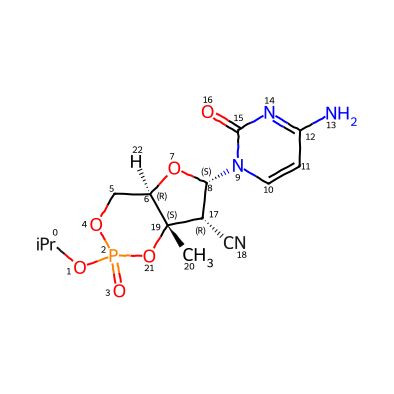 CC(C)OP1(=O)OC[C@H]2O[C@H](n3ccc(N)nc3=O)[C@H](C#N)[C@]2(C)O1